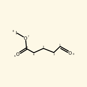 O=CCCCC(=O)OI